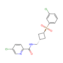 O=C(NC[C@H]1C[C@H](S(=O)(=O)c2cccc(Cl)c2)C1)c1ccc(Cl)cn1